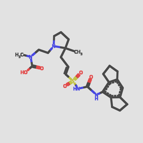 CN(CCN1CCCC1(C)CC=CS(=O)(=O)NC(=O)Nc1c2c(cc3c1CCC3)CCC2)C(=O)O